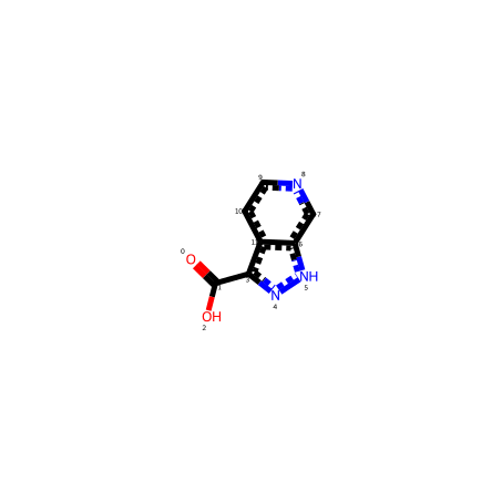 O=C(O)c1n[nH]c2cnccc12